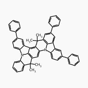 CC1(C)c2c(cc3c4c2c2cc(-c5ccccc5)ccc2n4-c2ccccc2C3(C)C)-n2c3ccc(-c4ccccc4)cc3c3cc(-c4ccccc4)cc1c32